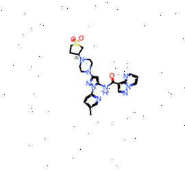 Cc1ccc(-n2nc(N3CCN([C@H]4CCS(=O)(=O)C4)CC3)cc2NC(=O)c2cnn3cccnc23)nc1